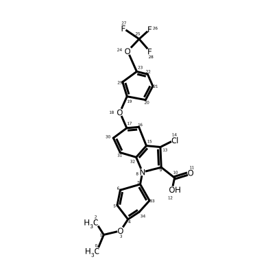 CC(C)Oc1ccc(-n2c(C(=O)O)c(Cl)c3cc(Oc4cccc(OC(F)(F)F)c4)ccc32)cc1